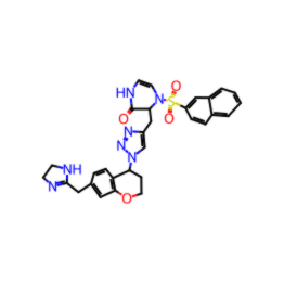 O=C1NC=CN(S(=O)(=O)c2ccc3ccccc3c2)C1Cc1cn(C2CCOc3cc(CC4=NCCN4)ccc32)nn1